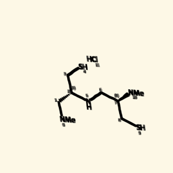 CNC[C@H](CS)NC[C@H](CS)NC.Cl